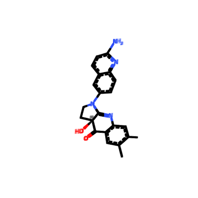 Cc1cc2c(cc1C)C(=O)[C@]1(O)CCN(c3ccc4nc(N)ccc4c3)C1=N2